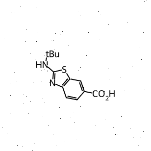 CC(C)(C)Nc1nc2ccc(C(=O)O)cc2s1